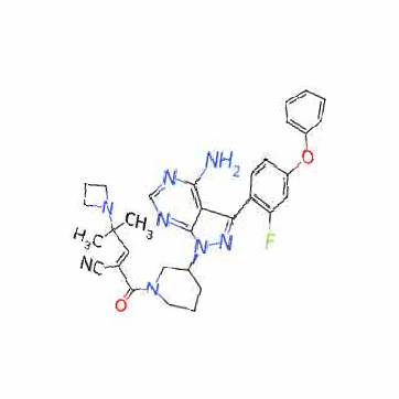 CC(C)(C=C(C#N)C(=O)N1CCC[C@H](n2nc(-c3ccc(Oc4ccccc4)cc3F)c3c(N)ncnc32)C1)N1CCC1